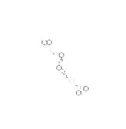 Cc1ccc(C(=O)Nc2cccc(CC(C)NCCc3ccc(O)c4[nH]c(=O)ccc34)c2)cc1N(C)C(=O)CCN1CCC(OC(=O)Nc2ccccc2-c2ccccc2)CC1